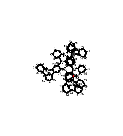 c1ccc(-n2c3ccccc3c3ccccc32)c(N2c3cc4c(cc3B3c5cc6c7cccc8c9ccccc9n(c6cc5N(c5ccccc5-n5c6ccccc6c6ccccc65)c5cc(-n6c9ccccc9c9ccccc96)cc2c53)c87)c2cccc3c5ccccc5n4c32)c1